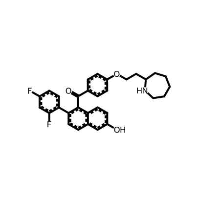 O=C(c1ccc(OCCC2CCCCCN2)cc1)c1c(-c2ccc(F)cc2F)ccc2cc(O)ccc12